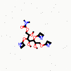 COC(COC(=O)N(C)C)C(OC1=NC=C1)C(OC)C(OC1=NC=C1)C(COC1=NC=C1)OC